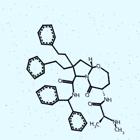 CN[C@@H](C)C(=O)N[C@H]1CCO[C@H]2CC(CCc3ccccc3)(CCc3ccccc3)C(C(=O)NC(c3ccccc3)c3ccccc3)N2C1=O